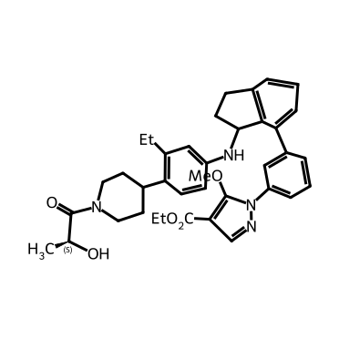 CCOC(=O)c1cnn(-c2cccc(-c3cccc4c3C(Nc3ccc(C5CCN(C(=O)[C@H](C)O)CC5)c(CC)c3)CC4)c2)c1OC